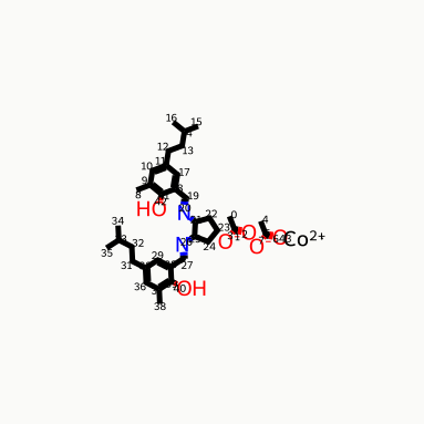 CC(=O)[O-].CC(=O)[O-].Cc1cc(CCC(C)C)cc(C=NC2CCCC2N=Cc2cc(CCC(C)C)cc(C)c2O)c1O.[Co+2]